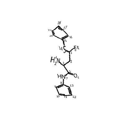 CCC(CC(N)C(=O)Nc1ccccc1)Sc1ccccc1